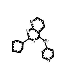 c1ccc(-c2nc(Nc3ccncc3)c3cccnc3n2)cc1